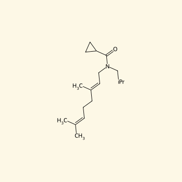 CC(C)=CCC/C(C)=C/CN(CC(C)C)C(=O)C1CC1